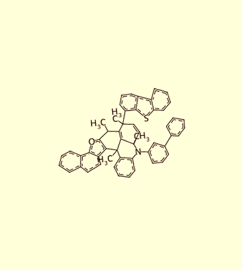 CC1C2=C3C(C)(c4ccccc4N(c4cccc(-c5ccccc5)c4)C3(C)C=CC2(C)c2cccc3c2sc2ccccc23)c2c1oc1c2ccc2ccccc21